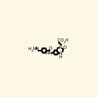 NN=Cc1ccc(C(=O)Nc2ccc3c(c2)CN(CCC(=O)O)C(=O)CN3)cc1